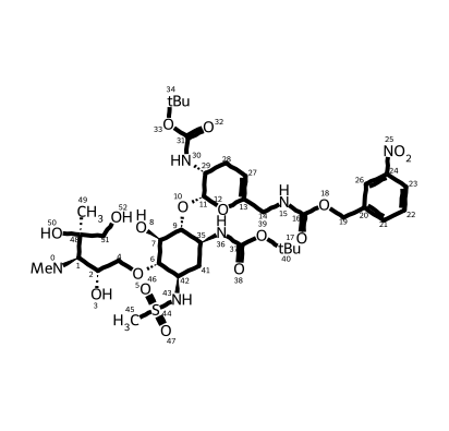 CN[C@H]([C@@H](O)CO[C@@H]1[C@@H](O)[C@H](O[C@H]2OC(CNC(=O)OCc3cccc([N+](=O)[O-])c3)=CC[C@H]2NC(=O)OC(C)(C)C)[C@@H](NC(=O)OC(C)(C)C)C[C@H]1NS(C)(=O)=O)[C@@](C)(O)CO